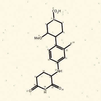 COC1CN(C(=O)O)CCC1c1ccc(NC2CCC(=O)NC2=O)cc1F